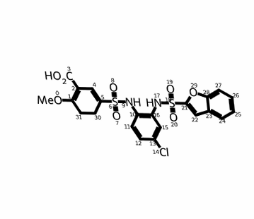 COC1=C(C(=O)O)C=C(S(=O)(=O)Nc2ccc(Cl)cc2NS(=O)(=O)c2cc3ccccc3o2)CC1